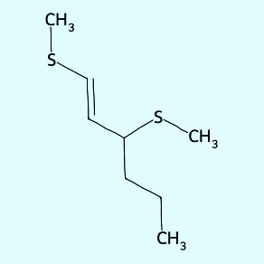 CCCC(/C=C/SC)SC